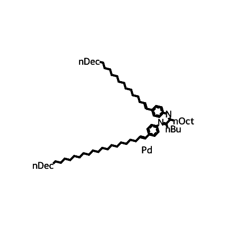 CCCCCCCCCCCCCCCCCCCCCCC=Cc1ccc(N=C(CCCCCCCC)C(CCCC)=Nc2ccc(C=CCCCCCCCCCCCCCCCCCCCCCCCCCCCC)cc2)cc1.[Pd]